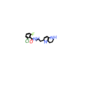 O=C(N[CH]CCc1ccc2c(n1)CCCN2)c1c(F)cccc1Cl